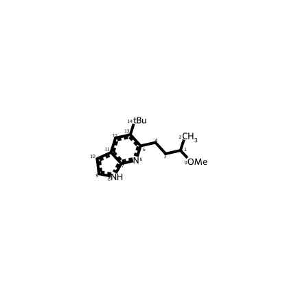 COC(C)CCc1nc2[nH]ccc2cc1C(C)(C)C